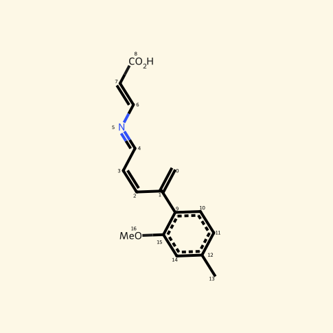 C=C(\C=C/C=N/C=C/C(=O)O)c1ccc(C)cc1OC